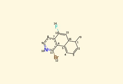 CC1C=CC=C2c3c(ccnc3Br)C(F)=CC21